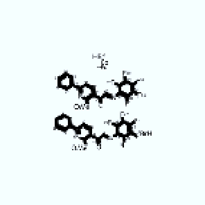 Br.Br.COc1nc(-c2ccccc2)ccc1C(=O)C=Nc1c(F)c(F)c(F)c(F)c1F.COc1nc(-c2ccccc2)ccc1C(=O)C=Nc1c(F)c(F)c(F)c(F)c1F.[Co].[Fe]